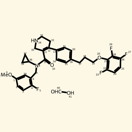 COc1ccc(F)c(CN(C(=O)C2=C(c3ccc(CCCOc4c(F)ccc(F)c4F)cc3)CCNC2)C2CC2)c1.O=CO